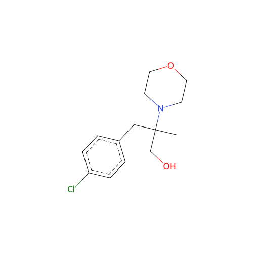 CC(CO)(Cc1ccc(Cl)cc1)N1CCOCC1